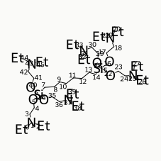 CCN(CC)CCO[Si](CCCCCCCC[Si](OCCN(CC)CC)(OCCN(CC)CC)OCCN(CC)CC)(OCCN(CC)CC)OCCN(CC)CC